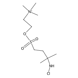 CC(C)(CCS(=O)(=O)OCC[N+](C)(C)C)NCl